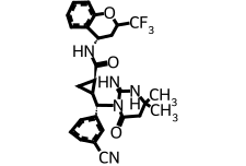 CC1(C)CC(=O)N([C@H](c2cccc(C#N)c2)C2C[C@H]2C(=O)N[C@H]2CC(C(F)(F)F)Oc3ccccc32)C(=N)N1